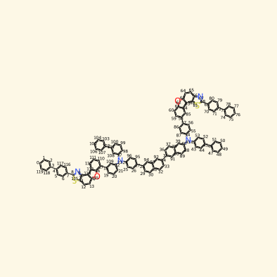 c1ccc(-c2ccc(-c3nc4c(ccc5oc6c(-c7cccc(N(c8ccc(-c9ccc%10ccc(-c%11ccc%12cc(N(c%13ccc(-c%14ccccc%14)cc%13)c%13ccc(-c%14ccc%15oc%16ccc%17nc(-c%18ccc(-c%19ccccc%19)cc%18)sc%17c%16c%15c%14)cc%13)ccc%12c%11)cc%10c9)cc8)c8cccc(-c9ccccc9)c8)c7)cccc6c54)s3)cc2)cc1